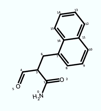 NC(=O)C(C=O)Cc1cccc2ccccc12